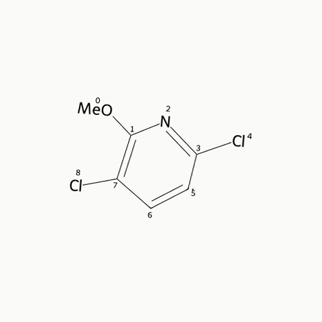 COc1nc(Cl)[c]cc1Cl